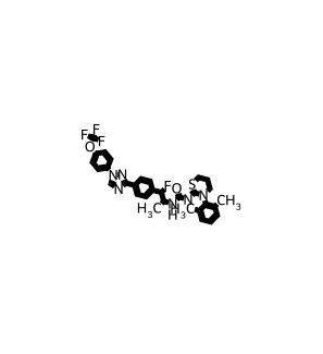 Cc1cccc(C)c1N1CCCS/C1=N\C(=O)NC(C)C(F)c1ccc(-c2ncn(-c3ccc(OC(F)(F)F)cc3)n2)cc1